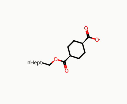 [CH2]CCCCCCCOC(=O)[C@H]1CC[C@@H](C([O])=O)CC1